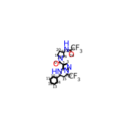 O=C(c1cnn2c1NC(c1ccccc1)CC2C(F)(F)F)N1CC[C@H](NC(=O)C(F)(F)F)C1